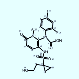 Cn1c(N(C(=O)O)c2ccc(I)cc2F)c(NS(=O)(=O)C2(CCO)CC2)ccc1=O